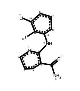 NC(=O)c1cccnc1Nc1cccc(Cl)c1F